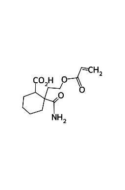 C=CC(=O)OCCC1(C(N)=O)CCCCC1C(=O)O